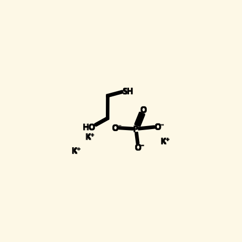 O=P([O-])([O-])[O-].OCCS.[K+].[K+].[K+]